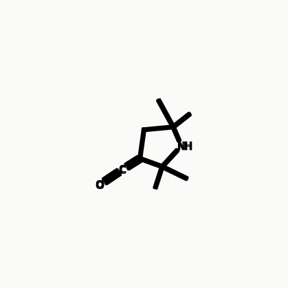 CC1(C)CC(=C=O)C(C)(C)N1